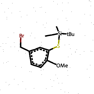 COc1ccc(CBr)cc1S[Si](C)(C)C(C)(C)C